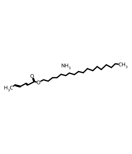 C/C=C/C=C/C(=O)OCCCCCCCCCCCCCCCCCC.N